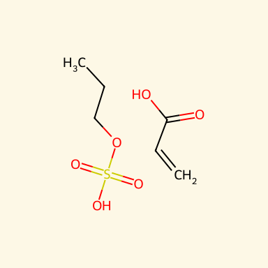 C=CC(=O)O.CCCOS(=O)(=O)O